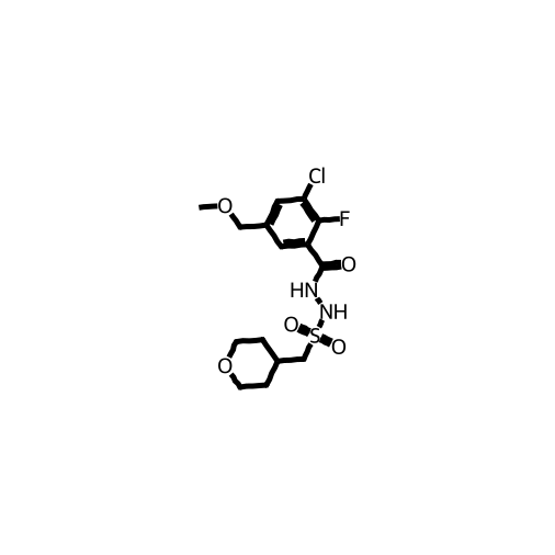 COCc1cc(Cl)c(F)c(C(=O)NNS(=O)(=O)CC2CCOCC2)c1